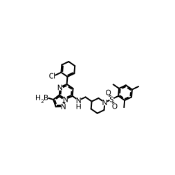 Bc1cnn2c(NCC3CCCN(S(=O)(=O)c4c(C)cc(C)cc4C)C3)cc(C3=CCCC=C3Cl)nc12